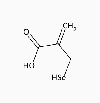 C=C(C[SeH])C(=O)O